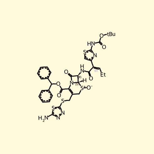 CC/C=C(\C(=O)N[C@@H]1C(=O)N2C(C(=O)OC(c3ccccc3)c3ccccc3)=C(CSc3nnc(N)s3)C[S+]([O-])[C@@H]12)c1csc(NC(=O)OC(C)(C)C)n1